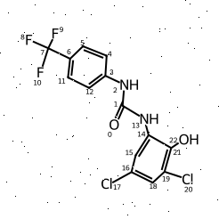 O=C(Nc1ccc(C(F)(F)F)cc1)Nc1cc(Cl)cc(Cl)c1O